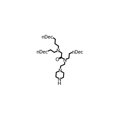 CCCCCCCCCCCCCN(CCCCCCCCCCCC)CC(=O)N(CCCCCCCCCCCC)CCN1CCNCC1